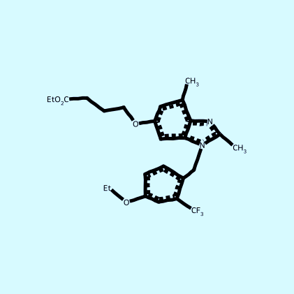 CCOC(=O)CCCOc1cc(C)c2nc(C)n(Cc3ccc(OCC)cc3C(F)(F)F)c2c1